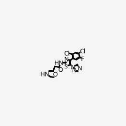 O=C(CC1CNCCO1)Nc1nc(-c2cc(F)c(Cl)cc2Cl)c(-n2cncn2)s1